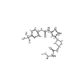 CC[C@H](C)NC(=O)O[C@@H]1CC[C@H](c2cc(NC(=O)Cc3ccc(C(F)(F)F)cn3)n[nH]2)C1